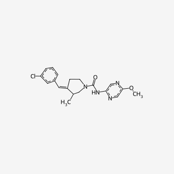 COc1cnc(NC(=O)N2CCC(=Cc3cccc(Cl)c3)C(C)C2)cn1